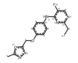 Cc1nnc(COc2ccc(Nc3nc(CI)ncc3F)cc2)o1